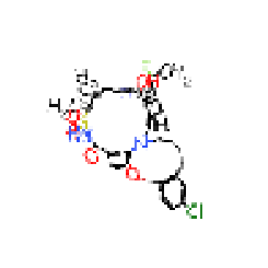 C=C(F)C[C@@]1(O)/C=C/C[C@H](C)[C@@H](C)S(=O)(=O)NC(=O)c2ccc3c(c2)N(CCCCc2cc(Cl)ccc2CO3)C[C@@H]2CC[C@H]21